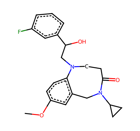 COc1ccc2c(c1)CN(C1CC1)C(=O)CCN2CC(O)c1cccc(F)c1